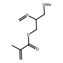 C=PC(COC)COC(=O)C(=C)C